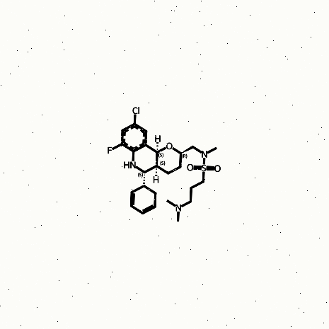 CN(C)CCCS(=O)(=O)N(C)C[C@H]1CC[C@@H]2[C@H](O1)c1cc(Cl)cc(F)c1N[C@H]2C1C=CC=CC1